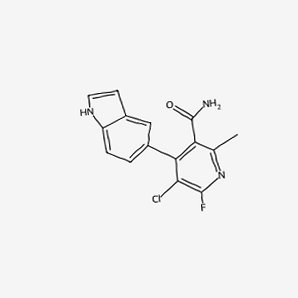 Cc1nc(F)c(Cl)c(-c2ccc3[nH]ccc3c2)c1C(N)=O